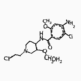 COc1cc(N)c(Cl)cc1C(=O)NC1CCN(CCCl)CC1OC.O